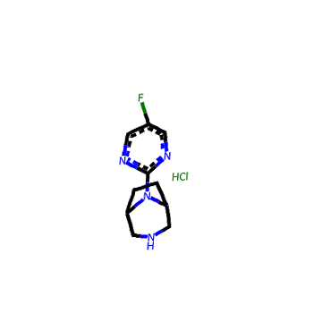 Cl.Fc1cnc(N2C3CCC2CNC3)nc1